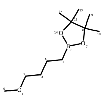 COCCCCB1OC(C)(C)C(C)(C)O1